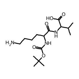 CC(C)C(NC(=O)C(CCCCN)NC(=O)OC(C)(C)C)C(=O)O